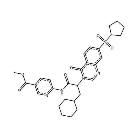 COC(=O)c1ccc(NC(=O)C(CC2CCCCC2)n2cnc3cc(S(=O)(=O)C4CCCC4)ccc3c2=O)nc1